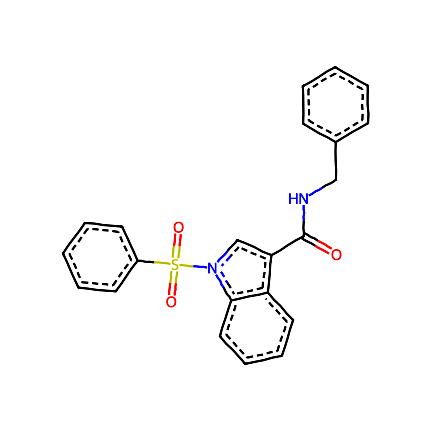 O=C(NCc1ccccc1)c1cn(S(=O)(=O)c2ccccc2)c2ccccc12